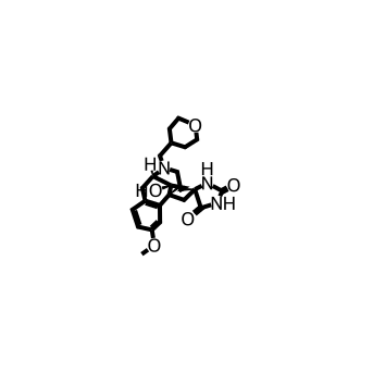 COc1ccc2c(c1)[C@]13CCN(CC4CCOCC4)[C@H](C2)[C@]1(O)CC[C@@]1(C3)NC(=O)NC1=O